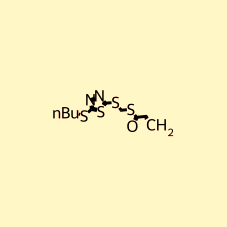 C=CC(=O)SCSc1nnc(SCCCC)s1